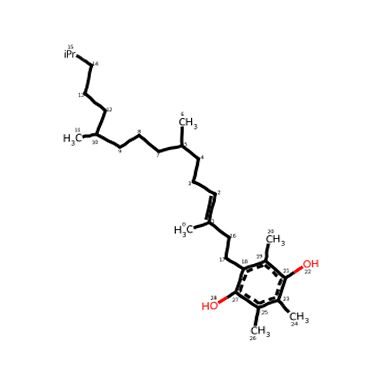 C/C(=C\CCC(C)CCCC(C)CCCC(C)C)CCc1c(C)c(O)c(C)c(C)c1O